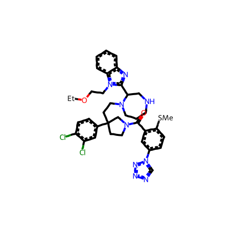 CCOCCn1c(C2CNCCCN2CCC2(c3ccc(Cl)c(Cl)c3)CCN(C(=O)c3cc(-n4cnnn4)ccc3SC)C2)nc2ccccc21